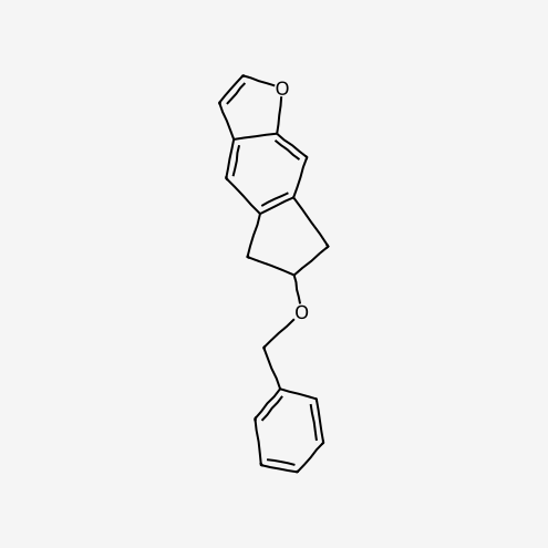 c1ccc(COC2Cc3cc4ccoc4cc3C2)cc1